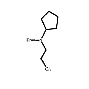 CC(C)N(CCO)C1CCCC1